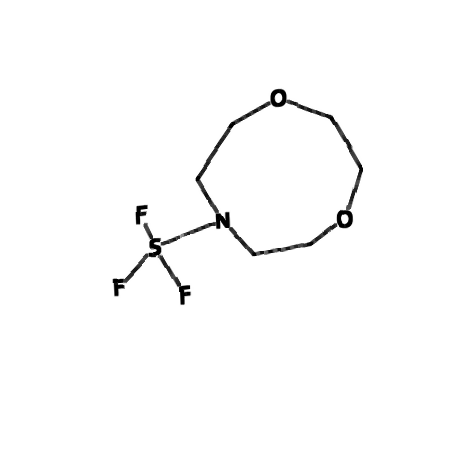 FS(F)(F)N1CCOCCOCC1